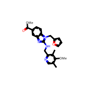 COC(=O)c1ccc2c(c1)nc(NCc1ncc(C)c(OC)c1C)n2Cc1ccco1